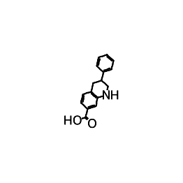 O=C(O)c1ccc2c(c1)NCC(c1ccccc1)C2